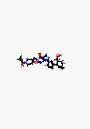 O=C(C1CC1)N1CCC(O)(Cn2cnc3c(cnn3-c3cccc(-c4cc(F)ccc4CO)c3)c2=O)CC1